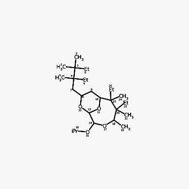 CCC(C)(C)C(C)(CC)CC1CC2OC(O1)C(OC(C)C)OC(C)C(C)(CC)C2(C)CC